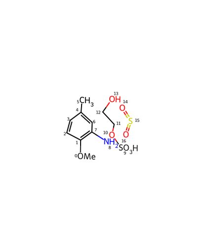 COc1ccc(C)cc1N.O=S(=O)(O)OCCO.O=S=O